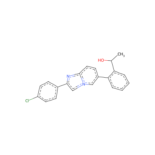 CC(O)c1ccccc1-c1ccc2nc(-c3ccc(Cl)cc3)cn2c1